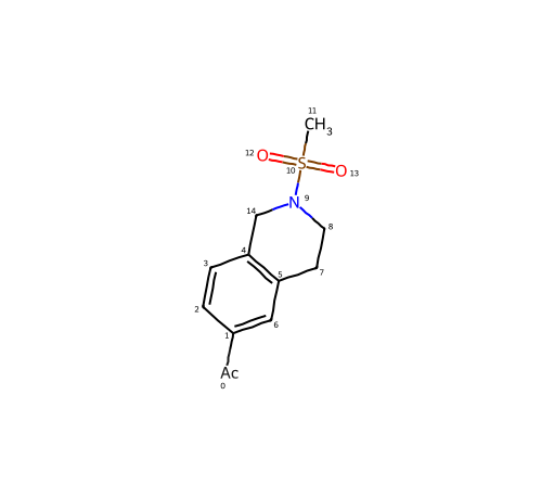 CC(=O)c1ccc2c(c1)CCN(S(C)(=O)=O)C2